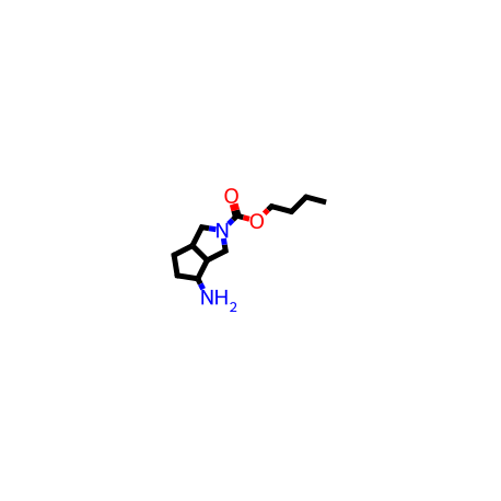 CCCCOC(=O)N1CC2CCC(N)C2C1